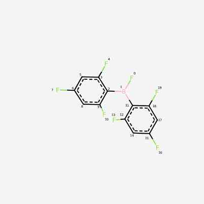 FB(c1c(F)cc(F)cc1F)c1c(F)cc(F)cc1F